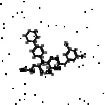 C[C@H](NC(=O)Cc1cc(F)cc(F)c1)C(=O)N(C(=O)CNC(C)(C)C)c1ccc(C2CCCCC2)cc1